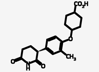 Cc1cc([C@H]2CCC(=O)NC2=O)ccc1OC1CCC(C(=O)O)CC1